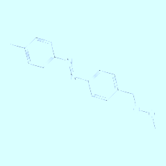 COOCc1ccc(N=Nc2ccc(C)cc2)cc1